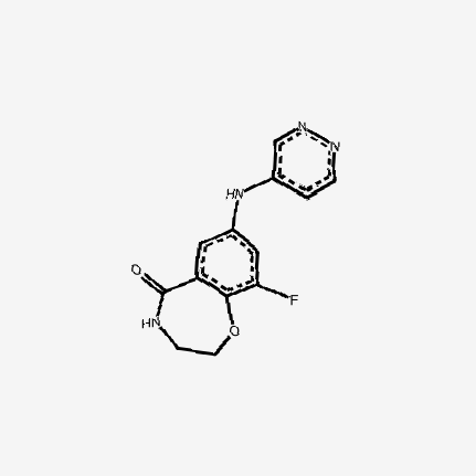 O=C1NCCOc2c(F)cc(Nc3ccnnc3)cc21